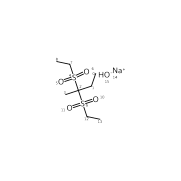 CCC(C)(S(=O)(=O)CC)S(=O)(=O)CC.[Na+].[OH-]